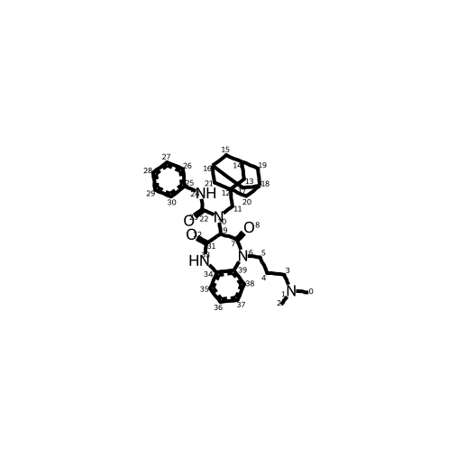 CN(C)CCCN1C(=O)C(N(CC23CC4CC(CC(C4)C2)C3)C(=O)Nc2ccccc2)C(=O)Nc2ccccc21